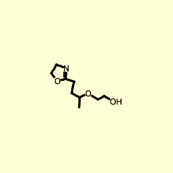 CC(CCC1=NCCO1)OCCO